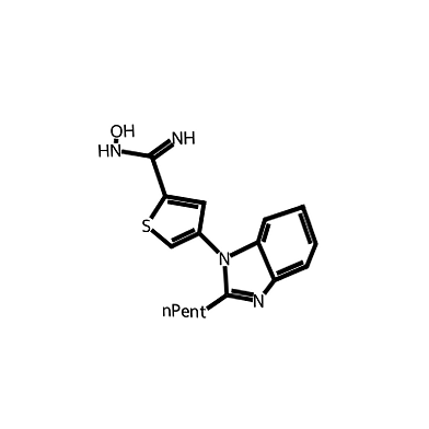 CCCCCc1nc2ccccc2n1-c1csc(C(=N)NO)c1